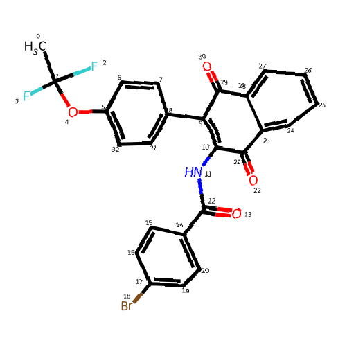 CC(F)(F)Oc1ccc(C2=C(NC(=O)c3ccc(Br)cc3)C(=O)c3ccccc3C2=O)cc1